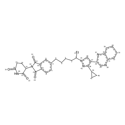 CCC(CCCCc1ccc2c(c1)C(=O)N(C1CCC(=O)NC1=O)C2=O)n1cc(-c2cnc3ccccc3n2)c(C2CC2)n1